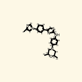 Cc1cn(-c2ccc(-c3csc(Nc4ccc(N5CC(C)OC(C)C5)cc4)n3)cc2)cn1